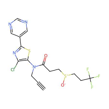 C#CCN(C(=O)CC[S+]([O-])CCC(F)(F)F)c1sc(-c2cncnc2)nc1Cl